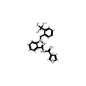 O=C(Nc1nn(Cc2ccccc2C(F)(F)F)c2ccccc12)c1ccoc1